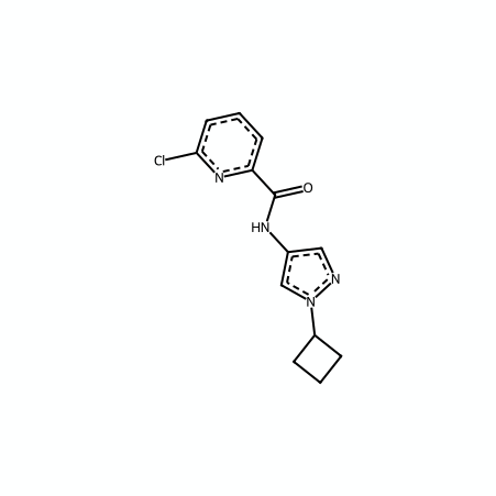 O=C(Nc1cnn(C2CCC2)c1)c1cccc(Cl)n1